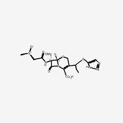 CO[C@@]1(NC(=O)C[S+](C)[O-])C(=O)N2C(C(=O)O)=C(C(C)Sc3cnn[nH]3)CS[C@H]21